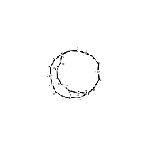 C1COCCN2CCOCCOCCN(CCO1)CCOCCOC2